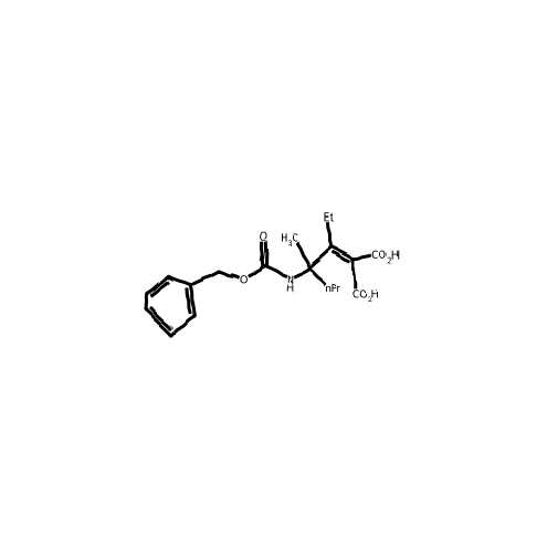 CCCC(C)(NC(=O)OCc1ccccc1)C(CC)=C(C(=O)O)C(=O)O